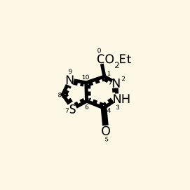 CCOC(=O)c1n[nH]c(=O)c2s[c]nc12